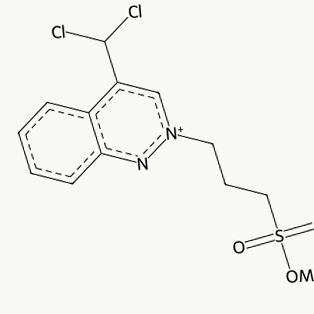 COS(=O)(=O)CCC[n+]1cc(C(Cl)Cl)c2ccccc2n1